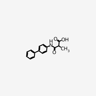 CC(C(=O)O)C(=O)Nc1ccc(-c2ccccc2)cc1